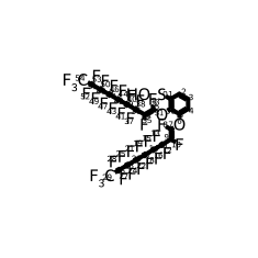 O=S(=O)(O)c1cccc(OC(F)=C(F)C(F)(F)C(F)(F)C(F)(F)C(F)(F)C(F)(F)C(F)(F)C(F)(F)F)c1OC(F)=C(F)C(F)(F)C(F)(F)C(F)(F)C(F)(F)C(F)(F)C(F)(F)C(F)(F)F